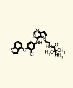 CC(C)(N)C(=O)NCCn1ccc2ncnc(Nc3ccc(Oc4cccc5sccc45)c(Cl)c3)c21